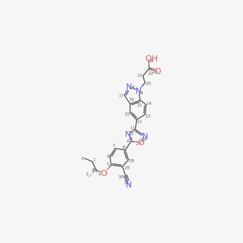 CC[C@@H](C)Oc1ccc(-c2nc(-c3ccc4c(cnn4CCC(=O)O)c3)no2)cc1C#N